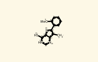 [CH2]c1c(-c2ccccc2OC)nc2c(S)[nH]cnc1-2